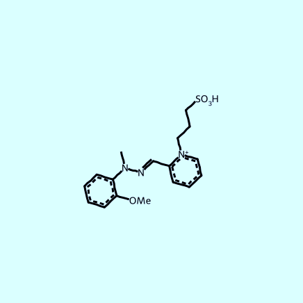 COc1ccccc1N(C)N=Cc1cccc[n+]1CCCS(=O)(=O)O